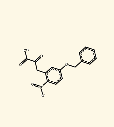 O=C(O)C(=O)Cc1cc(OCc2ccccc2)ccc1[N+](=O)[O-]